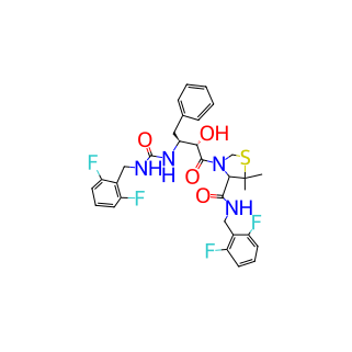 CC1(C)SCN(C(=O)[C@@H](O)[C@H](Cc2ccccc2)NC(=O)NCc2c(F)cccc2F)C1C(=O)NCc1c(F)cccc1F